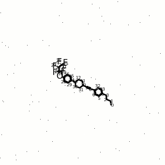 CCCCc1ccc(C#CC2CCC(c3ccc(OC(F)(F)C(F)C(F)(F)F)cc3)CC2)cc1